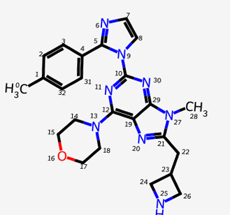 Cc1ccc(-c2nccn2-c2nc(N3CCOCC3)c3nc(CC4CNC4)n(C)c3n2)cc1